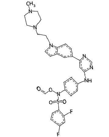 CN1CCN(CCn2ccc3cc(-c4cc(Nc5ccc(N(OC=O)S(=O)(=O)c6ccc(F)cc6F)cc5)ncn4)ccc32)CC1